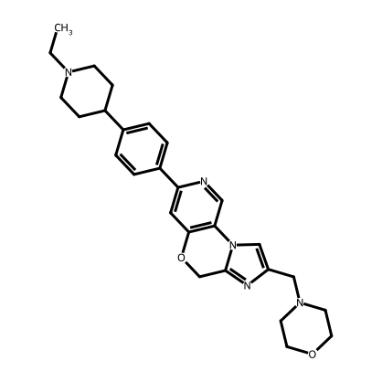 CCN1CCC(c2ccc(-c3cc4c(cn3)-n3cc(CN5CCOCC5)nc3CO4)cc2)CC1